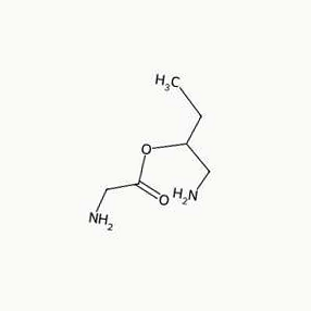 CCC(CN)OC(=O)CN